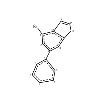 Brc1cc(-c2ccccc2)cc2c1C=CC2